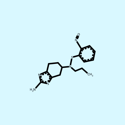 CCCN(Sc1ccccc1N=O)C1CCc2nc(N)sc2C1